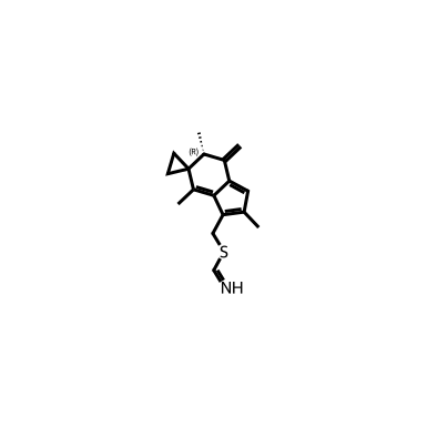 C=C1C2=CC(C)=C(CSC=N)C2=C(C)C2(CC2)[C@@H]1C